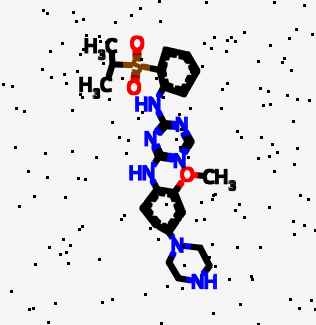 COc1cc(N2CCNCC2)ccc1Nc1ncnc(Nc2ccccc2S(=O)(=O)C(C)C)n1